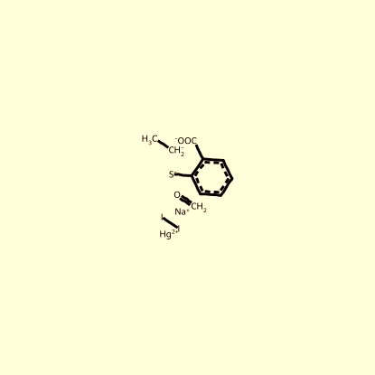 C=O.II.O=C([O-])c1ccccc1[S-].[CH2-]C.[Hg+2].[Na+]